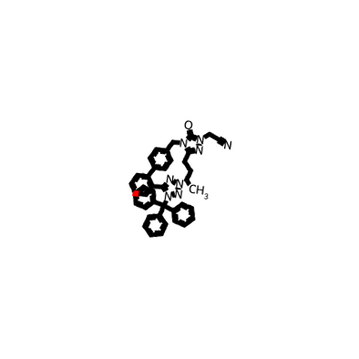 CCCCc1nn(CC#N)c(=O)n1Cc1ccc(-c2ccccc2-c2nnnn2C(c2ccccc2)(c2ccccc2)c2ccccc2)cc1